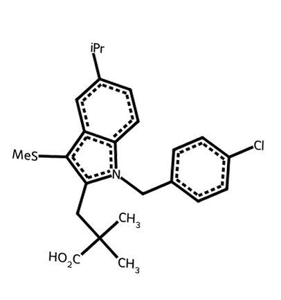 CSc1c(CC(C)(C)C(=O)O)n(Cc2ccc(Cl)cc2)c2ccc(C(C)C)cc12